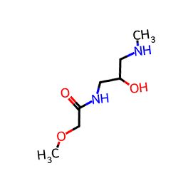 CNCC(O)CNC(=O)COC